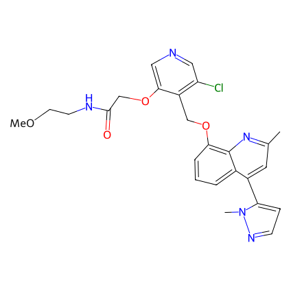 COCCNC(=O)COc1cncc(Cl)c1COc1cccc2c(-c3ccnn3C)cc(C)nc12